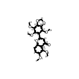 COc1ccc2oc(-c3c(OC)c(OC)c4c(c3OC)OCO4)cc(=O)c2c1OC